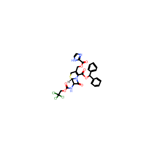 O=C(NC1C(=O)N2C(C(=O)OC(c3ccccc3)c3ccccc3)=C(COC(=O)c3ncc[nH]3)CS[C@@H]12)OCC(Cl)(Cl)Cl